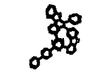 c1ccc(-c2ccc(-c3nc(-c4ccccc4)nc(-c4cccc5oc6ccc(-c7ccc8c(sc9ccccc98)c7-c7ccccc7)cc6c45)n3)cc2)cc1